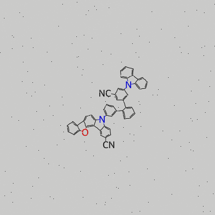 N#Cc1cc(-c2ccccc2-c2cccc(-n3c4ccc(C#N)cc4c4c5oc6ccccc6c5ccc43)c2)cc(-n2c3ccccc3c3ccccc32)c1